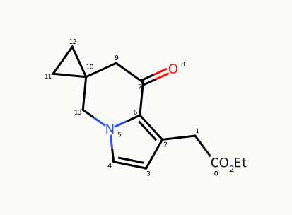 CCOC(=O)Cc1ccn2c1C(=O)CC1(CC1)C2